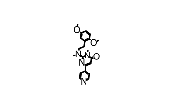 COc1ccc(OC)c(CCN(C)c2nc(-c3ccncc3)cc(=O)n2C)c1